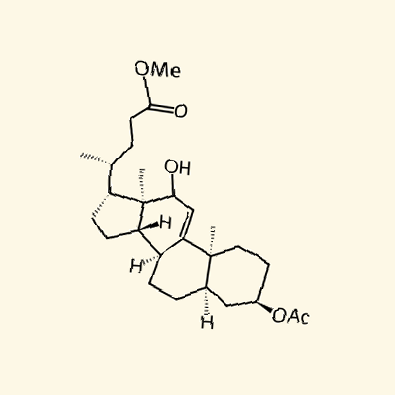 COC(=O)CC[C@@H](C)[C@H]1CC[C@H]2[C@@H]3CC[C@@H]4C[C@H](OC(C)=O)CC[C@]4(C)C3=CC(O)[C@]12C